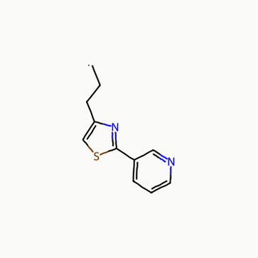 [CH2]CCc1csc(-c2cccnc2)n1